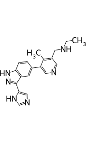 CCNCc1cncc(-c2ccc3[nH]nc(-c4cnc[nH]4)c3c2)c1C